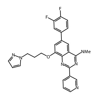 CNc1nc(-c2cccnc2)nc2c(OCCCn3cccn3)cc(-c3ccc(F)c(F)c3)cc12